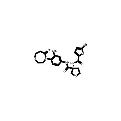 Cc1cc(NC(=O)[C@@]2(NC(=O)c3ccc(Br)s3)CCOC2)ccc1N1CCOCCC1=O